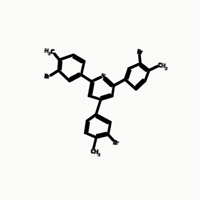 Cc1ccc(-c2cc(-c3ccc(C)c(Br)c3)nc(-c3ccc(C)c(Br)c3)c2)cc1Br